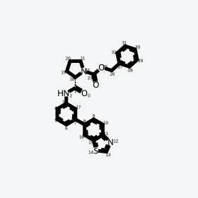 O=C(Nc1cccc(-c2ccc3ncsc3c2)c1)[C@@H]1CCCN1C(=O)OCc1ccccc1